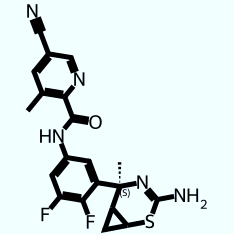 Cc1cc(C#N)cnc1C(=O)Nc1cc(F)c(F)c([C@@]2(C)N=C(N)SC3CC32)c1